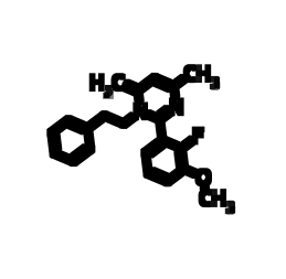 C=C1C=C(C)N=C(c2cccc(OC)c2F)N1CCc1ccccc1